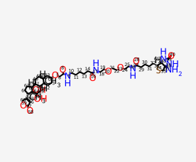 C[C@]12CC[C@H](OCC(=O)NCCCCCC(=O)NCCOCCOCCNC(=O)CCCC[C@@H]3SC[C@]4(N)NC(=O)N[C@H]34)C[C@H]1CC[C@@H]1[C@@H]2C[C@@H](O)[C@]2(C)[C@@H](C3=CC(=O)OC3)CC[C@]12O